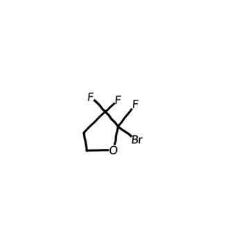 FC1(F)CCOC1(F)Br